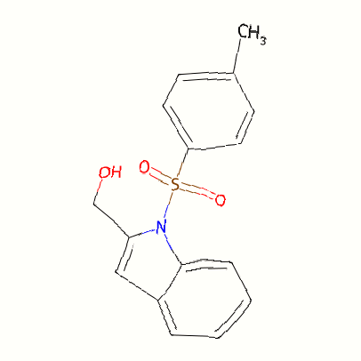 Cc1ccc(S(=O)(=O)n2c(CO)cc3ccccc32)cc1